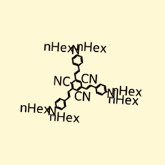 CCCCCCN(CCCCCC)c1ccc(C=Cc2c(C#N)c(C=Cc3ccc(N(CCCCCC)CCCCCC)cc3)c(C#N)c(C=Cc3ccc(N(CCCCCC)CCCCCC)cc3)c2C#N)cc1